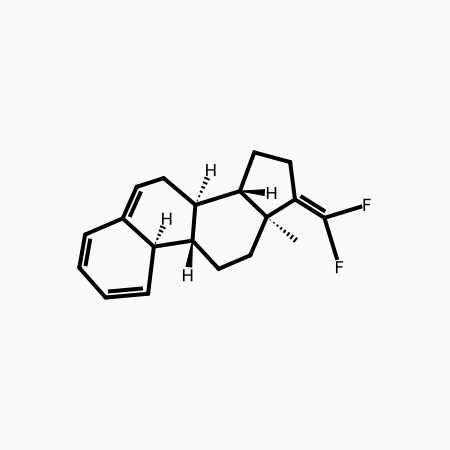 C[C@]12CC[C@H]3[C@@H](CC=C4C=CC=C[C@@H]43)[C@@H]1CCC2=C(F)F